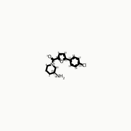 N[C@H]1CCCN(C(=O)c2ccc(-c3ccc(Cl)cc3)o2)C1